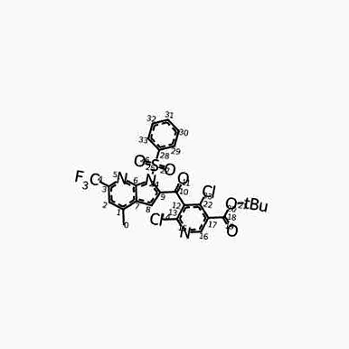 Cc1cc(C(F)(F)F)nc2c1cc(C(=O)c1c(Cl)ncc(C(=O)OC(C)(C)C)c1Cl)n2S(=O)(=O)c1ccccc1